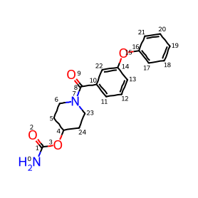 NC(=O)OC1CCN(C(=O)c2cccc(Oc3ccccc3)c2)CC1